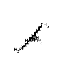 CCCCCCCCCCCCCCCCCCP.CN(C)C